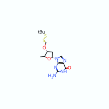 CC1O[C@@H](n2cnc3c(=O)[nH]c(N)nc32)C[C@H]1OCSSC(C)(C)C